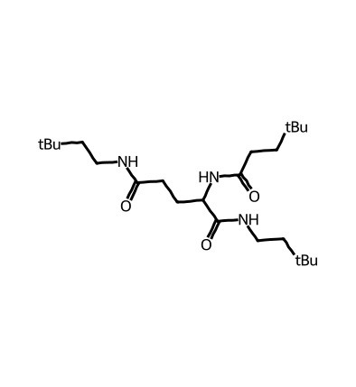 CC(C)(C)CCNC(=O)CCC(NC(=O)CCC(C)(C)C)C(=O)NCCC(C)(C)C